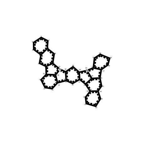 c1ccc2cc3c(cc2c1)c1cccc2c4cc5c6c7ccccc7cc7c8ccccc8n(c5cc4n3c12)c76